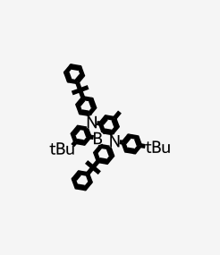 Cc1cc2c3c(c1)N(c1ccc(C(C)(C)c4ccccc4)cc1)c1ccc(C(C)(C)C)cc1B3C1CC(C(C)(C)C3C=CC=CC3)=CC=C1N2c1ccc(C(C)(C)C)cc1